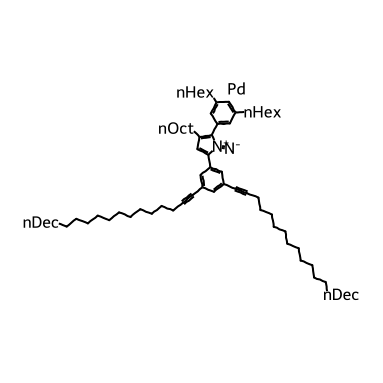 CCCCCCCCCCCCCCCCCCCCCC#Cc1cc(C#CCCCCCCCCCCCCCCCCCCCCC)cc(C2=CC(CCCCCCCC)=C(c3cc(CCCCCC)cc(CCCCCC)c3)[N+]2=[N-])c1.[Pd]